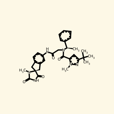 C[C@H](c1ccccc1)N(CC(=O)Nc1ccc2c(c1)C[C@@]1(C2)C(=O)NC(=O)N1C)C(=O)c1cc(C(C)(C)C)nn1C